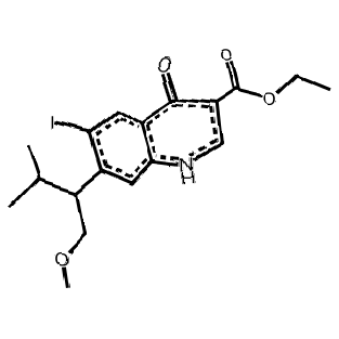 CCOC(=O)c1c[nH]c2cc(C(COC)C(C)C)c(I)cc2c1=O